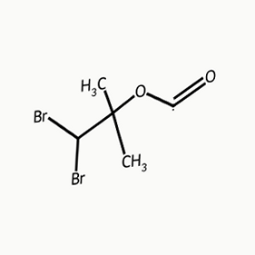 CC(C)(O[C]=O)C(Br)Br